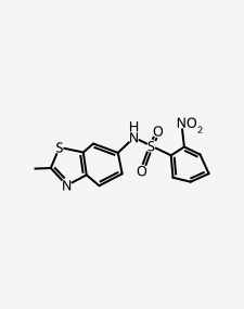 Cc1nc2ccc(NS(=O)(=O)c3ccccc3[N+](=O)[O-])cc2s1